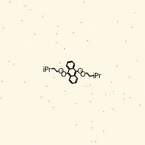 CC(C)CCOOc1c2ccccc2c(OOCCC(C)C)c2ccccc12